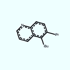 CCC(C)c1c(C(C)C)ccc2ncccc12